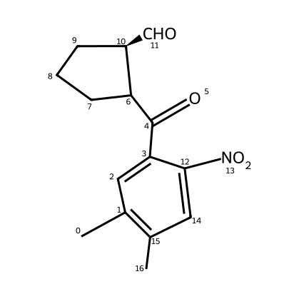 Cc1cc(C(=O)C2CCC[C@H]2C=O)c([N+](=O)[O-])cc1C